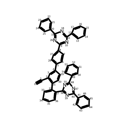 C#Cc1cc(-c2ccc(-c3nc(-c4ccccc4)nc(-c4ccccc4)n3)cc2)ccc1-c1ccccc1-c1nc(-c2ccccc2)nc(-c2ccccc2)n1